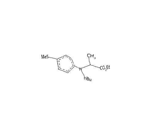 CCCCN(c1ccc(SC)cc1)C(C)C(=O)OCC